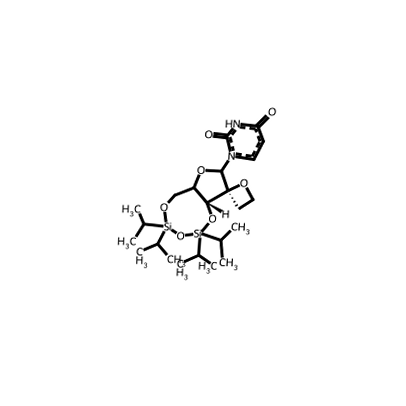 CC(C)[Si]1(C(C)C)OCC2OC(n3ccc(=O)[nH]c3=O)[C@]3(CCO3)[C@@H]2O[Si](C(C)C)(C(C)C)O1